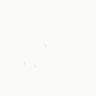 CCN(CC)OC(=O)N1c2ccccc2Sc2ccccc21